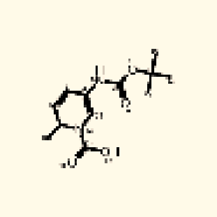 CC1C=CC(NC(=O)OC(C)(C)C)=CN1C(=O)O